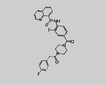 O=C(Cc1ccc(F)cc1)N1CCN(C(=O)c2ccc(N[S+]([O-])c3cccc4cccnc34)c(F)c2)CC1